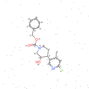 Cc1cc(F)ncc1C1CCN(C(=O)OCc2ccccc2)CC1O